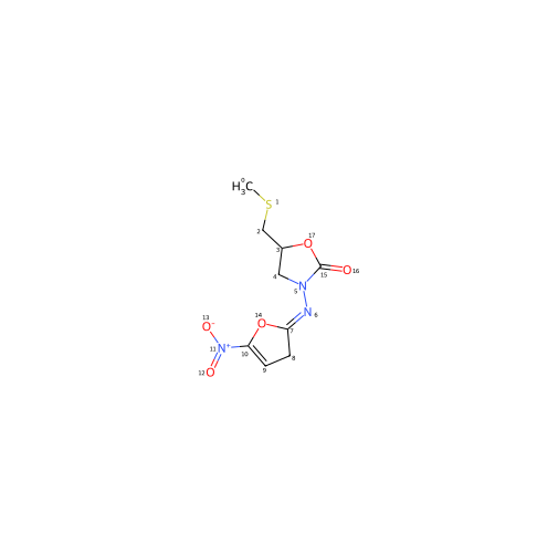 CSCC1CN(N=C2CC=C([N+](=O)[O-])O2)C(=O)O1